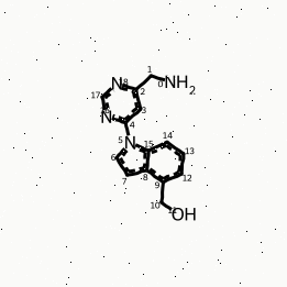 NCc1cc(-n2ccc3c(CO)cccc32)ncn1